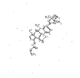 CCc1nc2c(F)ccc(OCC(=O)OC)c2c(OC(F)F)c1Cc1ccc(B2OC(C)(C)C(C)(C)O2)cc1